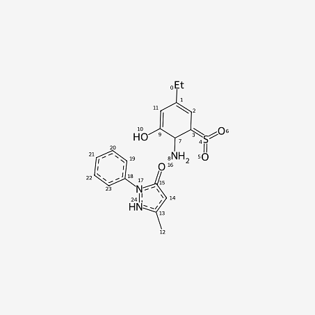 CCC1=CC(=S(=O)=O)C(N)C(O)=C1.Cc1cc(=O)n(-c2ccccc2)[nH]1